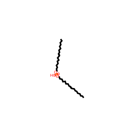 CCCCCCCCC=CCCCCCCCCOP(=O)(O)OCCCCCCCCC=CCCCCCCCC